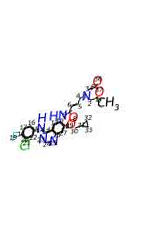 CC1CN(CC=CC(=O)Nc2cc3c(Nc4ccc(F)c(Cl)c4)ncnc3cc2OCC2CC2)CC(=O)O1